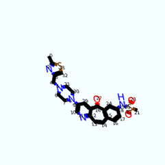 Cc1nc(CN2CCN(c3cnc4ccc5ccc(NS(C)(=O)=O)cc5c(=O)c4c3)CC2)cs1